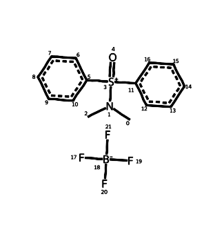 CN(C)[S+](=O)(c1ccccc1)c1ccccc1.F[B-](F)(F)F